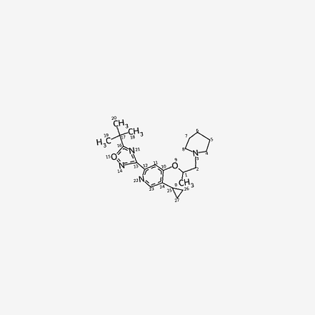 CC(CN1CCCCC1)Oc1cc(-c2noc(C(C)(C)C)n2)ncc1C1CC1